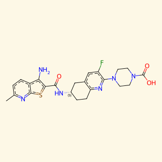 Cc1ccc2c(N)c(C(=O)N[C@H]3CCc4nc(N5CCN(C(=O)O)CC5)c(F)cc4C3)sc2n1